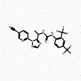 CC(NC(=O)Nc1ccc(C(F)(F)F)cc1C(F)(F)F)c1ncnn1-c1ccc(C#N)cn1